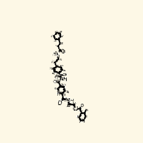 Cc1ccccc1C(=O)OCCNC(=O)c1ccc(C(=O)NS(=O)(=O)c2ccc(CCNC(=O)CCc3ccccc3)cc2)cn1